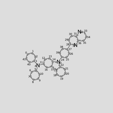 c1ccc(N(c2ccccc2)c2ccc3c(c2)c2ccccc2n3-c2ccc(-c3ccc4ncccc4n3)cc2)cc1